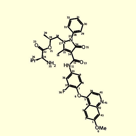 COc1ccc2c(Oc3ccc(NC(=O)c4c(C)n(C[C@H](C)OC(=O)[C@@H](N)C(C)C)n(-c5ccccc5)c4=O)cc3F)ccnc2c1